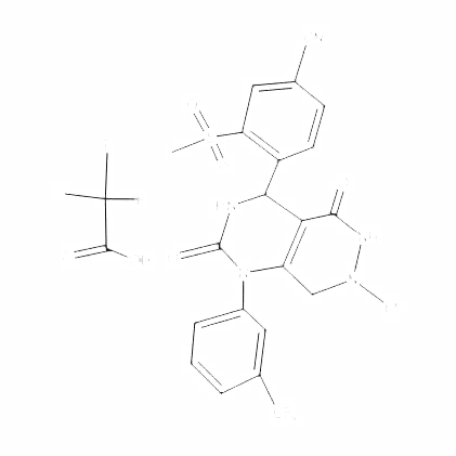 CCN1CC2=C(C(=O)N1)C(c1ccc(C#N)cc1S(C)(=O)=O)NC(=O)N2c1cccc(C(F)(F)F)c1.O=C(O)C(F)(F)F